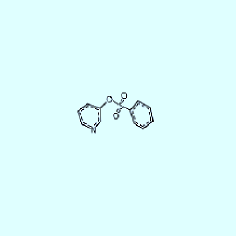 O=S(=O)(Oc1cccnc1)c1ccccc1